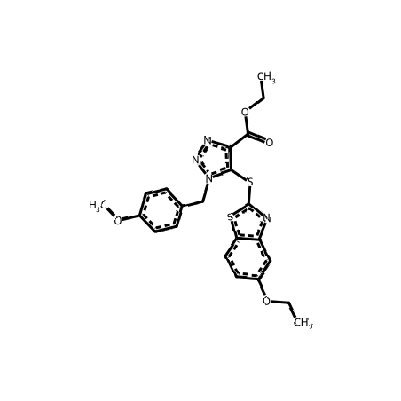 CCOC(=O)c1nnn(Cc2ccc(OC)cc2)c1Sc1nc2cc(OCC)ccc2s1